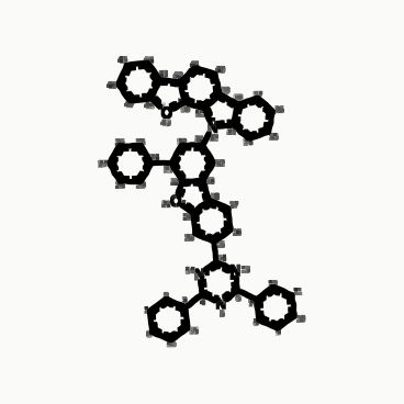 c1ccc(-c2nc(-c3ccccc3)nc(-c3ccc4c(c3)oc3c(-c5ccccc5)cc(-n5c6ccccc6c6ccc7c8ccccc8oc7c65)cc34)n2)cc1